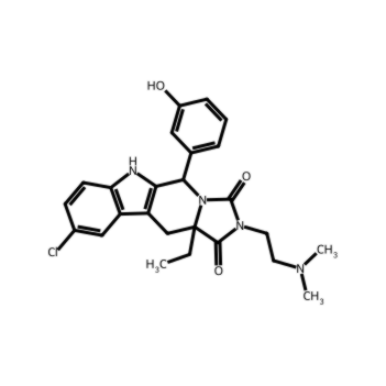 CCC12Cc3c([nH]c4ccc(Cl)cc34)C(c3cccc(O)c3)N1C(=O)N(CCN(C)C)C2=O